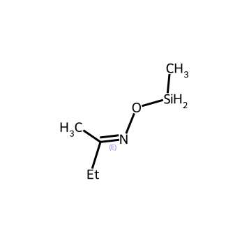 CC/C(C)=N/O[SiH2]C